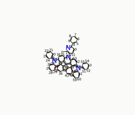 Cc1nc(-c2ccccc2)ccc1N1c2ccc(N(c3ccccc3)c3ccccc3)cc2C(c2ccccc2)(c2ccccc2)c2cc(N(c3ccccc3)c3ccccc3)ccc21